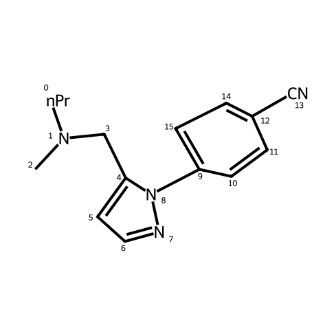 CCCN(C)Cc1ccnn1-c1ccc(C#N)cc1